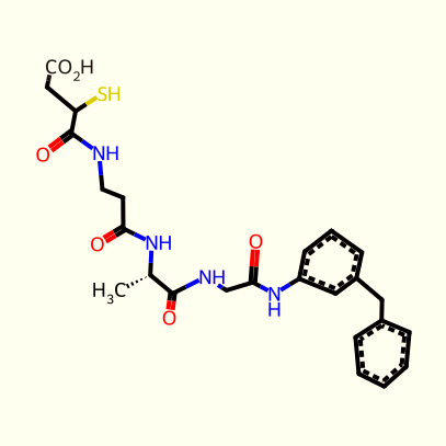 C[C@H](NC(=O)CCNC(=O)C(S)CC(=O)O)C(=O)NCC(=O)Nc1cccc(Cc2ccccc2)c1